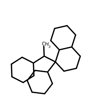 CC(C1CCCCC1)C1(C2CCCCC2)CCCC2CCCCC21